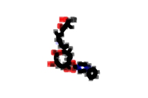 CC[C@H](O)[C@@H](C)[C@H]1O[C@@H]1C[C@H](C)/C=C/C=C(\C)[C@H]1OC(=O)C[C@H](O)CC[C@@](C)(O)[C@@H](OC(=O)N2CC[N+](C)(C3CCCCC3)CC2)/C=C/[C@@H]1C